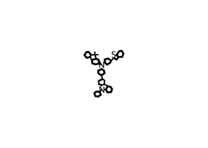 CC1(C)c2ccccc2-c2ccc(N(c3ccc(C4=CC=C5C(C4)c4ccccc4N5c4ccccc4)cc3)c3ccc(-c4cc5ccccc5s4)cc3)cc21